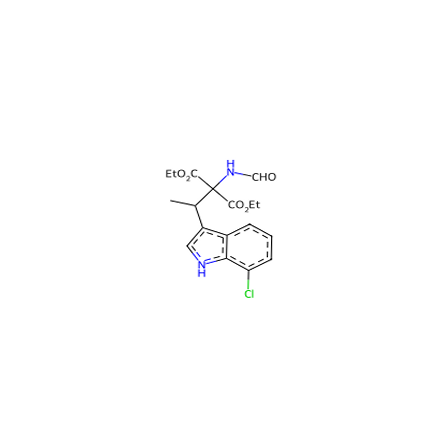 CCOC(=O)C(NC=O)(C(=O)OCC)C(C)c1c[nH]c2c(Cl)cccc12